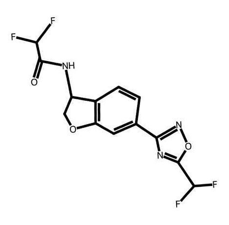 O=C(NC1COc2cc(-c3noc(C(F)F)n3)ccc21)C(F)F